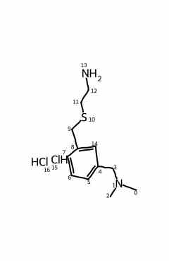 CN(C)Cc1cccc(CSCCN)c1.Cl.Cl